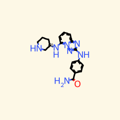 NC(=O)c1ccc(Nc2nc3cccc(N[C@@H]4CCCNC4)n3n2)cc1